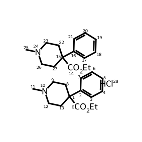 CCOC(=O)C1(c2ccccc2)CCN(C)CC1.CCOC(=O)C1(c2ccccc2)CCN(C)CC1.Cl